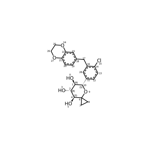 O[C@@H]1[C@@H](O)[C@H](O)C2(CC2)O[C@H]1c1ccc(Cl)c(Cc2ccc3c(c2)OCCO3)c1